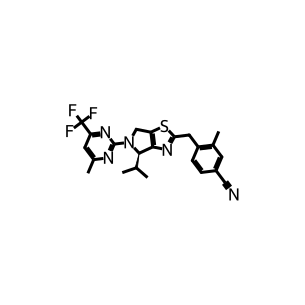 Cc1cc(C(F)(F)F)nc(N2Cc3sc(Cc4ccc(C#N)cc4C)nc3[C@H]2C(C)C)n1